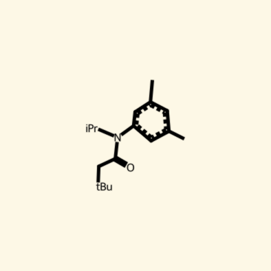 Cc1cc(C)cc(N(C(=O)CC(C)(C)C)C(C)C)c1